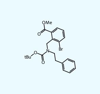 COC(=O)c1cccc(Br)c1CN(CCc1ccccc1)C(=O)OC(C)(C)C